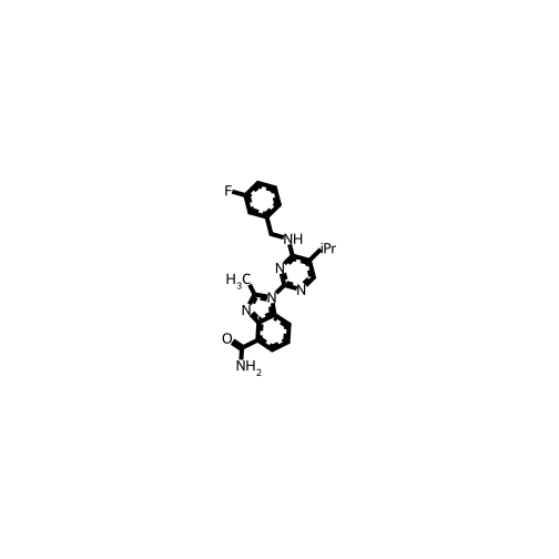 Cc1nc2c(C(N)=O)cccc2n1-c1ncc(C(C)C)c(NCc2cccc(F)c2)n1